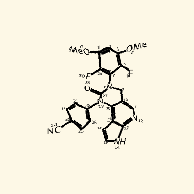 COc1cc(OC)c(F)c(N2Cc3cnc4[nH]ccc4c3N(c3ccc(C#N)cc3)C2=O)c1F